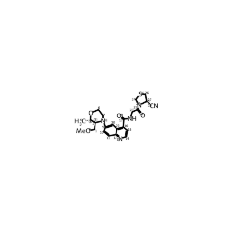 COC[C@H]1[C@H](C)OCCN1c1ccc2nccc(C(=O)NCC(=O)N3CSC[C@H]3C#N)c2c1